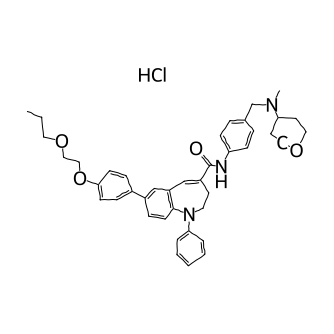 CCCOCCOc1ccc(-c2ccc3c(c2)C=C(C(=O)Nc2ccc(CN(C)C4CCOCC4)cc2)CCN3c2ccccc2)cc1.Cl